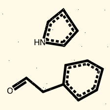 O=CCc1ccccc1.c1cc[nH]c1